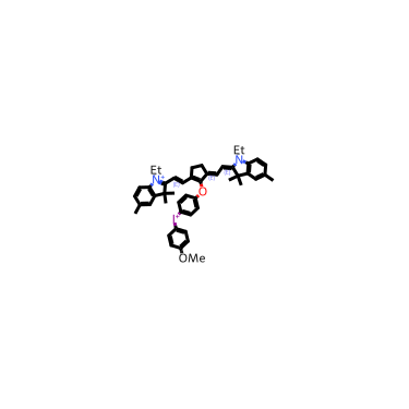 CCN1/C(=C/C=C2\CCC(/C=C/C3=[N+](CC)c4ccc(C)cc4C3(C)C)=C2Oc2ccc([I+]c3ccc(OC)cc3)cc2)C(C)(C)c2cc(C)ccc21